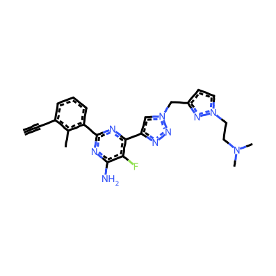 C#Cc1cccc(-c2nc(N)c(F)c(-c3cn(Cc4ccn(CCN(C)C)n4)nn3)n2)c1C